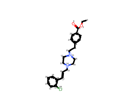 CCOC(=O)c1ccc(CCN2CCN(CC=Cc3ccccc3Cl)CC2)cc1